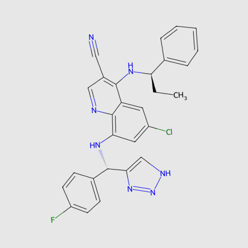 CC[C@@H](Nc1c(C#N)cnc2c(N[C@@H](c3ccc(F)cc3)c3c[nH]nn3)cc(Cl)cc12)c1ccccc1